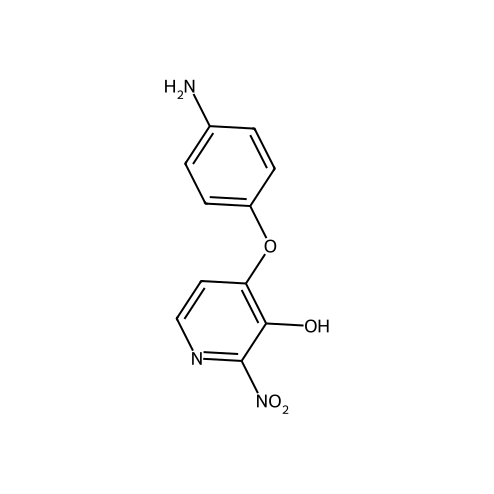 Nc1ccc(Oc2ccnc([N+](=O)[O-])c2O)cc1